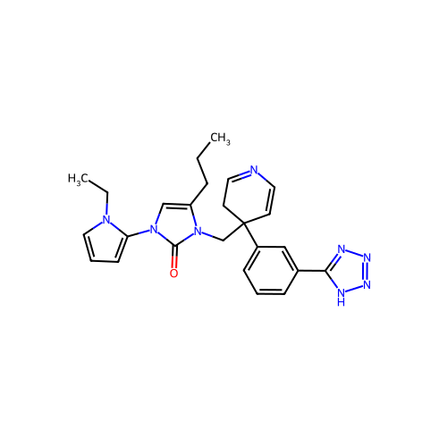 CCCc1cn(-c2cccn2CC)c(=O)n1CC1(c2cccc(-c3nnn[nH]3)c2)C=CN=CC1